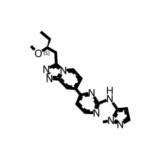 CC[C@@H](Cc1nnc2cc(-c3ccnc(Nc4ccnn4C)n3)ccn12)OC